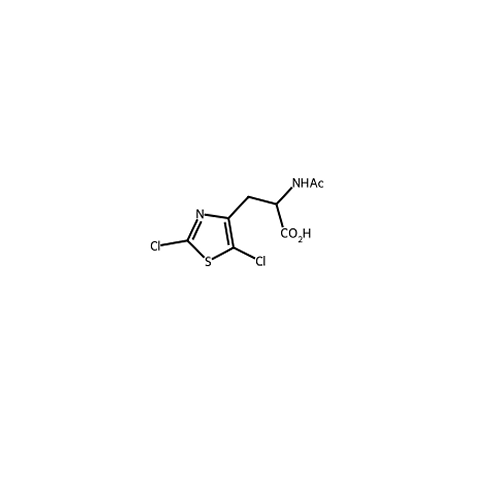 CC(=O)NC(Cc1nc(Cl)sc1Cl)C(=O)O